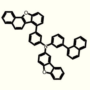 c1cc(-c2cccc3ccccc23)cc(N(c2cccc(-c3cccc4oc5c6ccccc6ccc5c34)c2)c2ccc3oc4ccccc4c3c2)c1